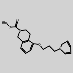 CC(C)(C)OC(=O)N1CCc2c(cccc2OCCCN2C=CC=CC2)C1